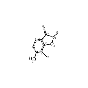 Cc1c(O)ccc2c1OC(C)C2=O